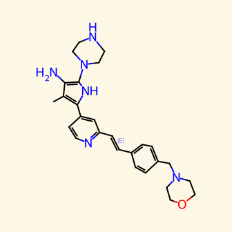 Cc1c(-c2ccnc(/C=C/c3ccc(CN4CCOCC4)cc3)c2)[nH]c(N2CCNCC2)c1N